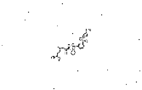 C=N/C(Cl)=C\C=C(/C)CNC(=O)[C@H]1CCCN1C(=O)c1cccc(S(=O)(=O)N2CC(C#N)C2)c1